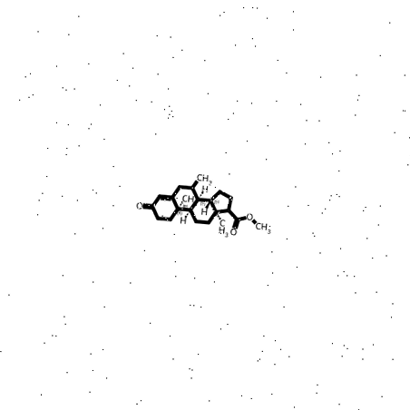 COC(=O)C1CC[C@H]2[C@@H]3C(C)CC4=CC(=O)CC[C@]4(C)[C@@H]3CC[C@]12C